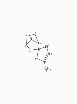 CC1=NOC2(C1)CC1CCC2C1